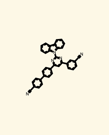 N#Cc1ccc(-c2ccc(-c3cc(-c4cccc(C#N)c4)nc(-n4c5ccccc5c5ccccc54)n3)cc2)cc1